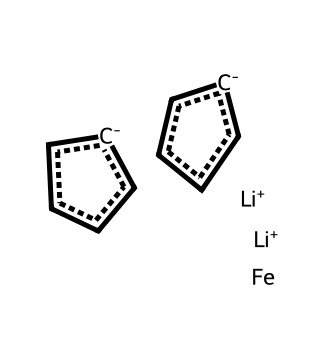 [Fe].[Li+].[Li+].c1cc[cH-]c1.c1cc[cH-]c1